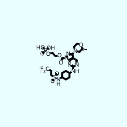 C[C@H]1CN(c2nn(C(=O)OCCOP(=O)(O)O)c3nc(NC4CCC(NS(=O)(=O)CCC(F)(F)F)CC4)ncc23)CCO1